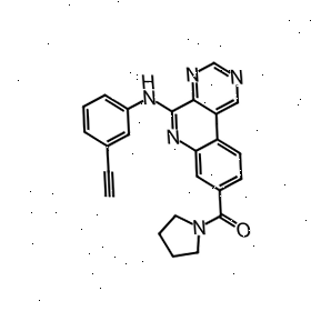 C#Cc1cccc(Nc2nc3cc(C(=O)N4CCCC4)ccc3c3cncnc23)c1